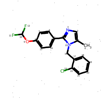 Cc1cnc(-c2ccc(OC(F)F)cc2)n1Cc1ccccc1Cl